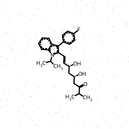 CC(C)C(=O)C[C@H](O)C[C@H](O)/C=C/c1c(-c2ccc(F)cc2)c2ccccc2n1C(C)C